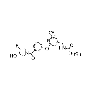 CC(C)(C)OC(=O)NCc1cc(Oc2cccc(C(=O)N3C[C@H](O)[C@@H](F)C3)c2)nc(C(F)(F)F)c1